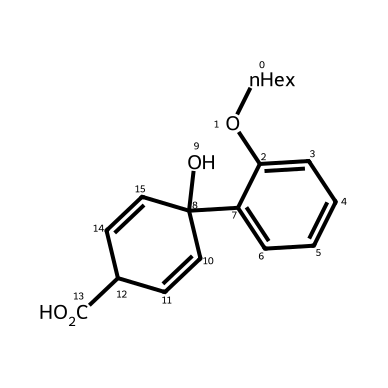 CCCCCCOc1ccccc1C1(O)C=CC(C(=O)O)C=C1